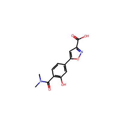 CN(C)C(=O)c1ccc(-c2cc(C(=O)O)no2)cc1O